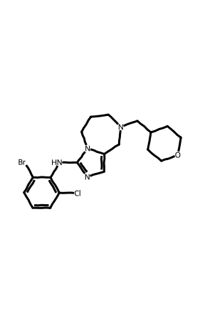 Clc1cccc(Br)c1Nc1ncc2n1CCCN(CC1CCOCC1)C2